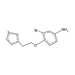 Nc1ccc(OCCc2ccsc2)c(Br)c1